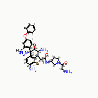 Cc1cc(Oc2ccccc2)ccc1C1(N)C(=O)C(N)C2c3c1ccc(N)c3SC2C(=O)NC1CCN(C(=O)CN)C1